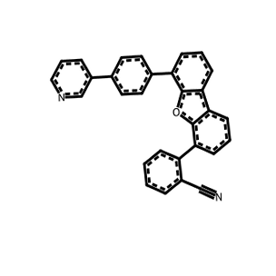 N#Cc1ccccc1-c1cccc2c1oc1c(-c3ccc(-c4cccnc4)cc3)cccc12